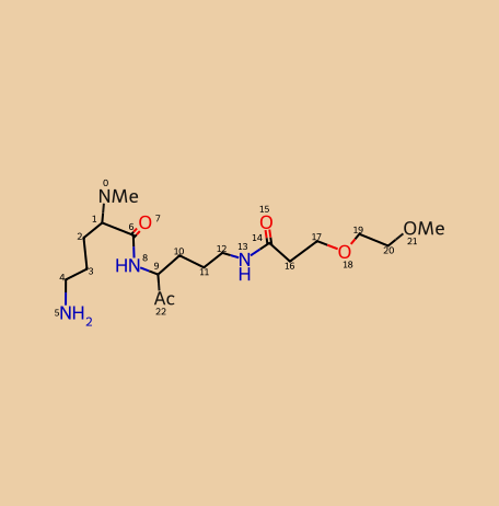 CNC(CCCN)C(=O)NC(CCCNC(=O)CCOCCOC)C(C)=O